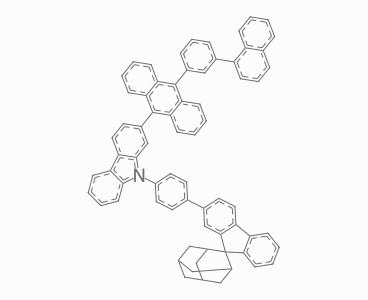 c1cc(-c2cccc3ccccc23)cc(-c2c3ccccc3c(-c3ccc4c5ccccc5n(-c5ccc(-c6ccc7c(c6)C6(c8ccccc8-7)C7CC8CC(C7)CC6C8)cc5)c4c3)c3ccccc23)c1